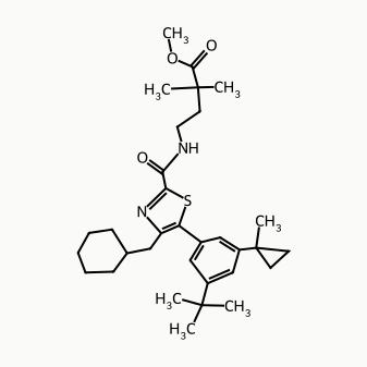 COC(=O)C(C)(C)CCNC(=O)c1nc(CC2CCCCC2)c(-c2cc(C(C)(C)C)cc(C3(C)CC3)c2)s1